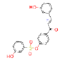 O=C(/C=C/c1cccc(O)c1)c1ccc(OS(=O)(=O)c2cccc(O)c2)cc1